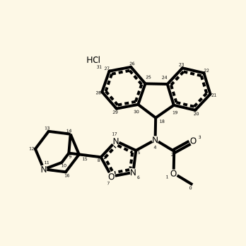 COC(=O)N(c1noc(C2CN3CCC2CC3)n1)C1c2ccccc2-c2ccccc21.Cl